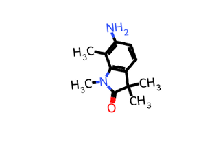 Cc1c(N)ccc2c1N(C)C(=O)C2(C)C